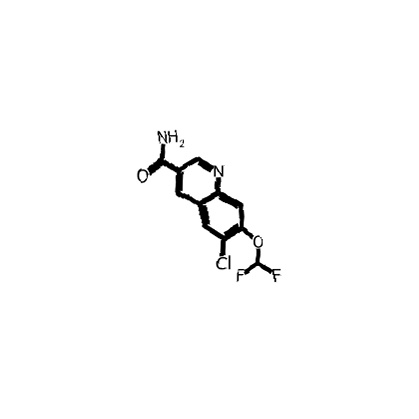 NC(=O)c1cnc2cc(OC(F)F)c(Cl)cc2c1